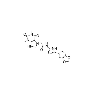 Cn1c2c(c(=O)n(C)c1=O)N(CC(=O)NC1NC(c3ccc4c(c3)OCO4)=CS1)CN2